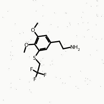 COc1cc(CCN)cc(SCC(F)(F)F)c1OC